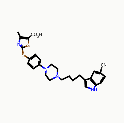 Cc1nc(Sc2ccc(N3CCN(CCCCc4c[nH]c5ccc(C#N)cc45)CC3)cc2)sc1C(=O)O